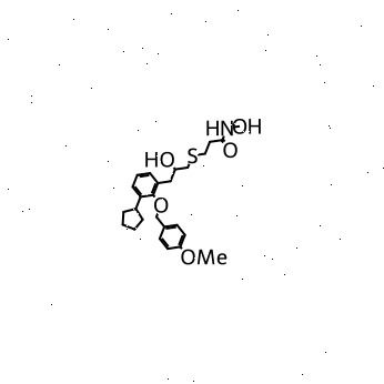 COc1ccc(COc2c(CC(O)CSCCC(=O)NO)cccc2C2CCCC2)cc1